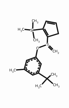 [CH2]=[Ti]([O]c1cc(C)cc(C(C)(C)C)c1)[C]1=C([Si](C)(C)C)C=CC1